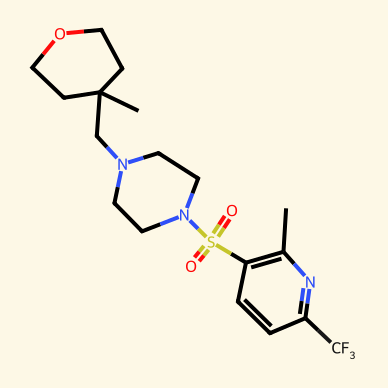 Cc1nc(C(F)(F)F)ccc1S(=O)(=O)N1CCN(CC2(C)CCOCC2)CC1